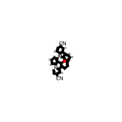 N#Cc1ccnc(C2=CC=CCC2C2=C(n3c4c(c5ccccc53)CC(C#N)C=C4)CCC=C2)c1